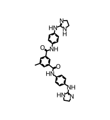 Cc1cc(C(=O)Nc2ccc(NC3=NCCN3)cc2)cc(C(=O)Nc2ccc(NC3=NCCN3)cc2)c1